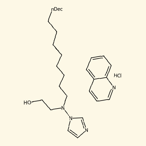 CCCCCCCCCCCCCCCCCCN(CCO)n1ccnc1.Cl.c1ccc2ncccc2c1